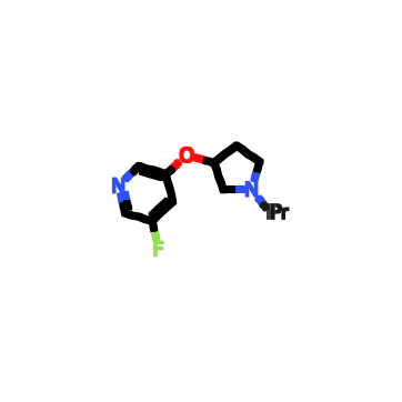 CC(C)N1CCC(Oc2cncc(F)c2)C1